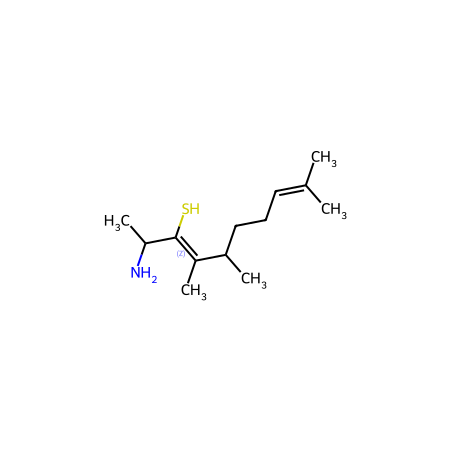 CC(C)=CCCC(C)/C(C)=C(\S)C(C)N